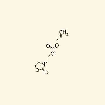 C=CCOC(=O)OCCN1CCOC1=O